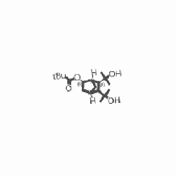 CC(C)(C)C(=O)O[C@@H]1C[C@H]2C[C@@H]1[C@@H](C(C)(C)O)C2C(C)(C)O